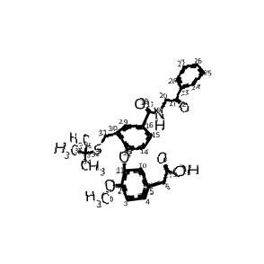 COc1ccc(CC(=O)O)cc1Oc1ccc(C(=O)NCC(=O)c2ccccc2)cc1CSC(C)(C)C